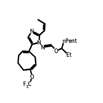 C/C=C\c1ncc(/C2=C/CCC/C(OC(F)(F)F)=C\C2)n1/N=C/OC(CC)CCCCC